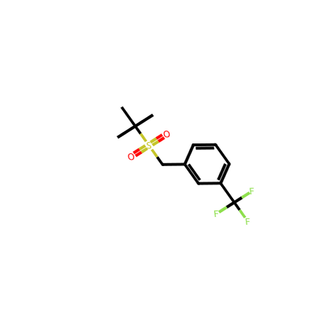 CC(C)(C)S(=O)(=O)Cc1cccc(C(F)(F)F)c1